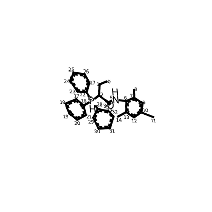 CCC(C(=O)Nc1c(C)cc(C)cc1C)[PH](c1ccccc1)(c1ccccc1)c1ccccc1